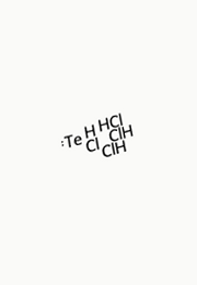 Cl.Cl.Cl.Cl.[Te]